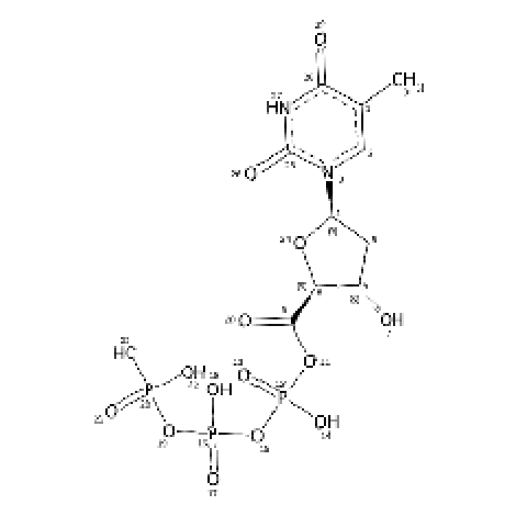 Cc1cn([C@H]2C[C@H](O)[C@@H](C(=O)OP(=O)(O)OP(=O)(O)OP(=O)(O)O)O2)c(=O)[nH]c1=O